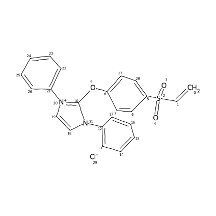 C=CS(=O)(=O)c1ccc(Oc2n(-c3ccccc3)cc[n+]2-c2ccccc2)cc1.[Cl-]